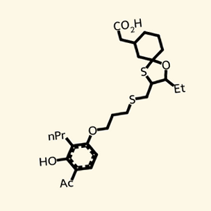 CCCc1c(OCCCSCC2SC3(CCCC(CC(=O)O)C3)OC2CC)ccc(C(C)=O)c1O